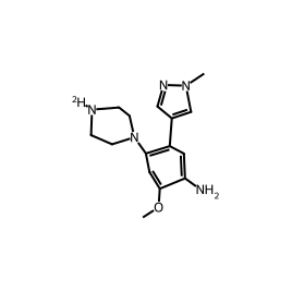 [2H]N1CCN(c2cc(OC)c(N)cc2-c2cnn(C)c2)CC1